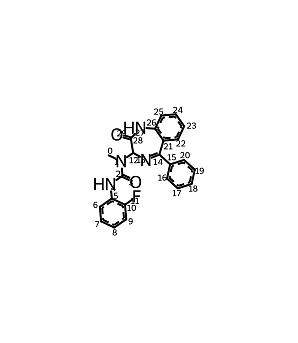 CN(C(=O)Nc1ccccc1F)C1N=C(c2ccccc2)c2ccccc2NC1=O